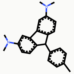 Cc1ccc(C2c3ccc(N(C)C)cc3-c3cc(N(C)C)ccc32)cc1